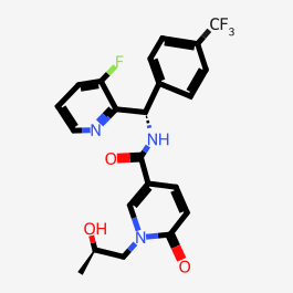 C[C@@H](O)Cn1cc(C(=O)N[C@@H](c2ccc(C(F)(F)F)cc2)c2ncccc2F)ccc1=O